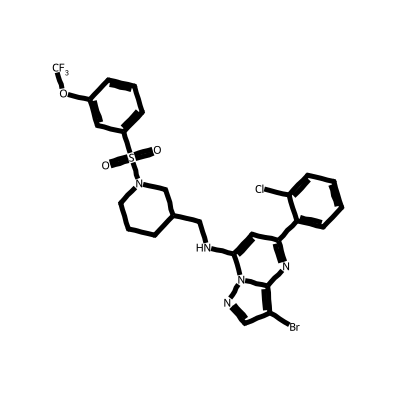 O=S(=O)(c1cccc(OC(F)(F)F)c1)N1CCCC(CNc2cc(-c3ccccc3Cl)nc3c(Br)cnn23)C1